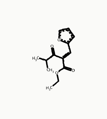 CCOC(=O)/C(=C/c1ccco1)C(=O)C(C)C